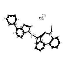 CCP1C2=Cc3c(cccc3[CH]2[Ti+2][CH]2C=Cc3c(-c4ccccc4)cccc32)-c2ccccc21.[Cl-].[Cl-]